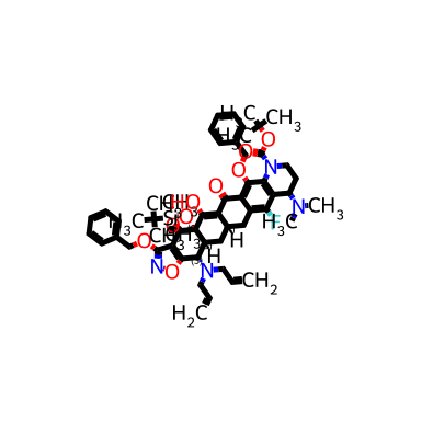 C=CCN(CC=C)[C@@H]1c2onc(OCc3ccccc3)c2C(=O)[C@@]2(O[Si](C)(C)C(C)(C)C)C(O)=C3C(=O)c4c(c(F)c5c(c4OCc4ccccc4)N(C(=O)OC(C)(C)C)CCC5N(C)C)C[C@H]3C[C@@H]12